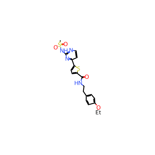 CCOc1ccc(CCNC(=O)c2ccc(-c3ccnc(NS(C)(=O)=O)n3)s2)cc1